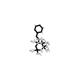 CC1(C)C[Si](C)(NCC2CCCCC2)[Si](C)(C)[Si](C)(C)O1